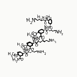 COc1ccc(NC(=O)[C@H](CCCCN)NC(=O)c2cc(NC(=O)[C@H](CCCCCN)NC(=O)c3cc(NC(=O)[C@H](CCCCN)NC(=O)c4cccc(N(C)C(=O)[C@@H](N)CCCCN)c4)ccc3OC)ccc2OC)cc1C(N)=O